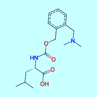 CC(C)C[C@H](NC(=O)OCc1ccccc1CN(C)C)C(=O)O